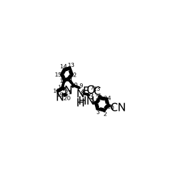 N#Cc1ccc(NC(=O)NCC2c3ccccc3-c3cncn32)c(C(F)(F)F)c1